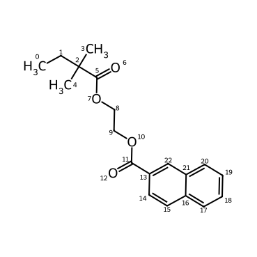 CCC(C)(C)C(=O)OCCOC(=O)c1ccc2ccccc2c1